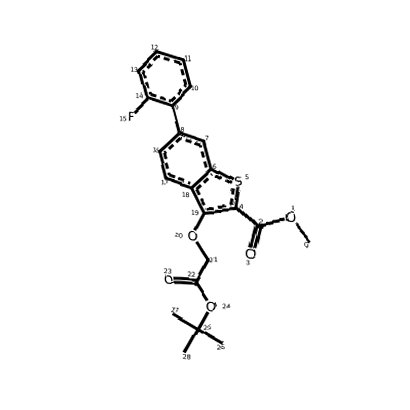 COC(=O)c1sc2cc(-c3ccccc3F)ccc2c1OCC(=O)OC(C)(C)C